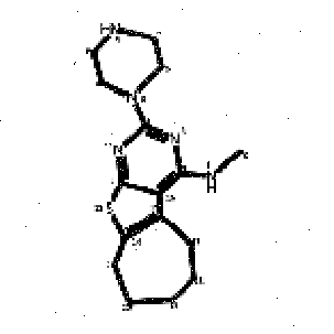 CNc1nc(N2CCNCC2)nc2sc3c(c12)CCCCC3